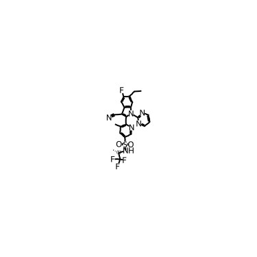 CCc1cc2c(cc1F)c(C#N)c(-c1ncc(S(=O)(=O)N[C@@H](C)C(F)(F)F)cc1C)n2-c1ncccn1